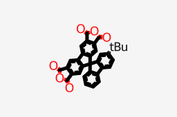 CC(C)(C)c1ccc2c(c1)C1(c3ccccc3-2)c2cc3c(cc2-c2cc4c(cc21)C(=O)OC4=O)C(=O)OC3=O